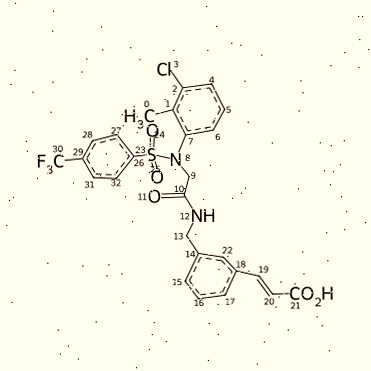 Cc1c(Cl)cccc1N(CC(=O)NCc1cccc(C=CC(=O)O)c1)S(=O)(=O)c1ccc(C(F)(F)F)cc1